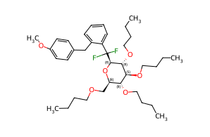 CCCCOC[C@H]1O[C@@H](C(F)(F)c2ccccc2Cc2ccc(OC)cc2)[C@H](OCCCC)[C@@H](OCCCC)[C@@H]1OCCCC